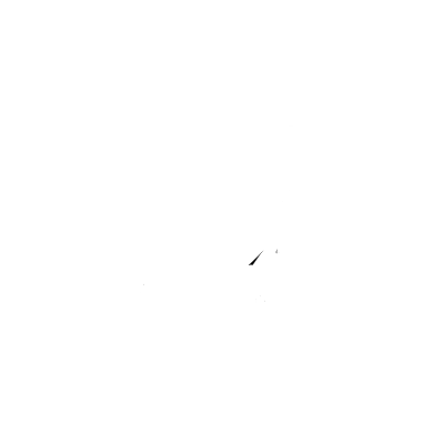 CCOC(=O)[C@@H]1C[C@H]1C(F)F